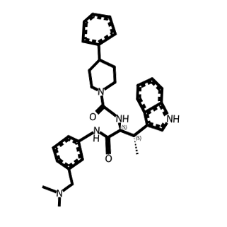 C[C@@H](c1c[nH]c2ccccc12)[C@H](NC(=O)N1CCC(c2ccccc2)CC1)C(=O)Nc1cccc(CN(C)C)c1